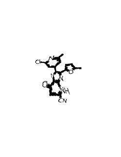 Cc1cc(-c2nc3c(=O)cc(C#N)[nH]c3nc2-c2ccc(C)o2)cc(Cl)n1